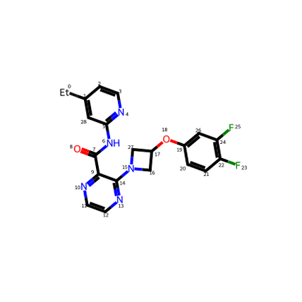 CCc1ccnc(NC(=O)c2nccnc2N2CC(Oc3ccc(F)c(F)c3)C2)c1